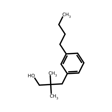 CCCCc1cccc(CC(C)(C)CO)c1